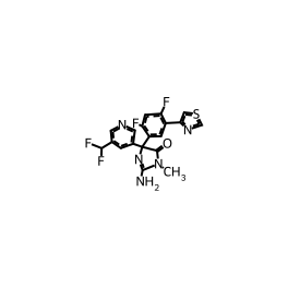 CN1C(=O)C(c2cncc(C(F)F)c2)(c2cc(-c3cscn3)c(F)cc2F)N=C1N